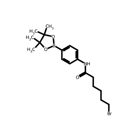 CC1(C)OB(c2ccc(NC(=O)CCCCCBr)cc2)OC1(C)C